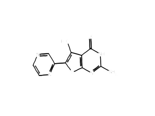 Cc1c(-c2cnccn2)sc2nc(N)[nH]c(=O)c12